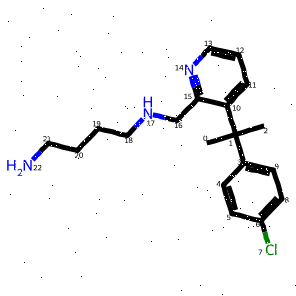 CC(C)(c1ccc(Cl)cc1)c1cccnc1CNCCCCN